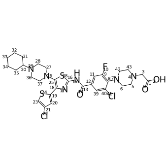 O=C(O)CN1CCN(c2c(F)cc(C(=O)Nc3nc(-c4cc(Cl)cs4)c(N4CCN(C5CCCCC5)CC4)s3)cc2Cl)CC1